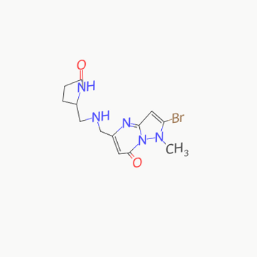 Cn1c(Br)cc2nc(CNCC3CCC(=O)N3)cc(=O)n21